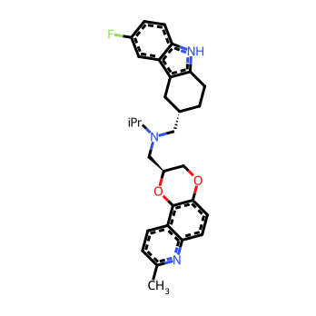 Cc1ccc2c3c(ccc2n1)OC[C@H](CN(C[C@H]1CCc2[nH]c4ccc(F)cc4c2C1)C(C)C)O3